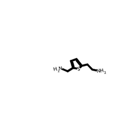 NCCc1ccc(CN)s1